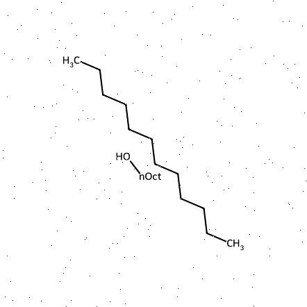 CCCCCCCCCCCC.CCCCCCCCO